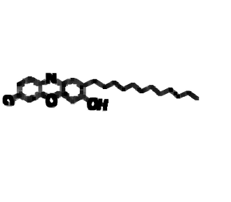 CCCCCCCCCCCCc1cc2nc3ccc(=O)cc-3oc2cc1O